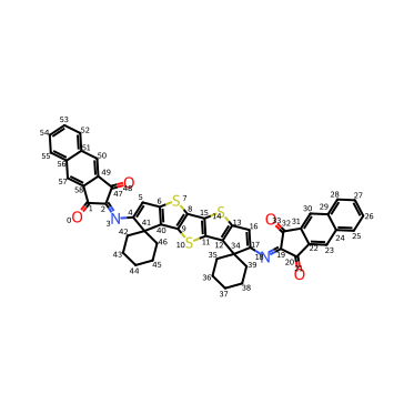 O=c1c(=NC2=Cc3sc4c(sc5c6c(sc54)C=C(N=c4c(=O)c5cc7ccccc7cc5c4=O)C64CCCCC4)c3C23CCCCC3)c(=O)c2cc3ccccc3cc12